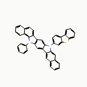 c1ccc(-n2c3cc4c5cc6ccccc6cc5n(-c5ccc6c(c5)sc5ccccc56)c4cc3c3ccc4ccccc4c32)cc1